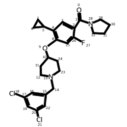 O=C(c1cc(C2CC2)c(OC2CCN(Cc3cc(Cl)cc(Cl)c3)CC2)cc1F)N1CCCC1